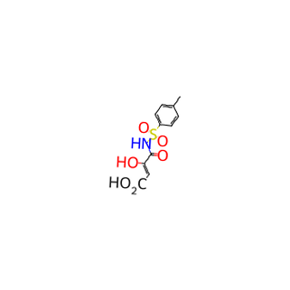 Cc1ccc(S(=O)(=O)NC(=O)C(O)=CC(=O)O)cc1